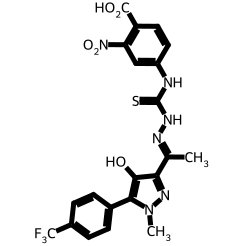 C/C(=N\NC(=S)Nc1ccc(C(=O)O)c([N+](=O)[O-])c1)c1nn(C)c(-c2ccc(C(F)(F)F)cc2)c1O